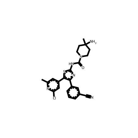 Cc1cc(-c2sc(NC(=O)N3CCC(C)(N)CC3)nc2-c2cccc(C#N)c2)cc(Cl)n1